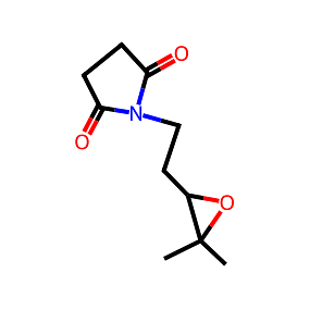 CC1(C)OC1CCN1C(=O)CCC1=O